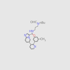 CCCCN(C=O)CCCNC(=O)c1cnc2ccc(-c3cccnc3-c3cccc(C)c3)cn12